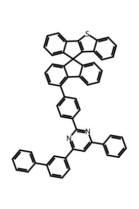 c1ccc(-c2cccc(-c3cc(-c4ccccc4)nc(-c4ccc(-c5cccc6c5-c5ccccc5C65c6ccccc6-c6sc7ccccc7c65)cc4)n3)c2)cc1